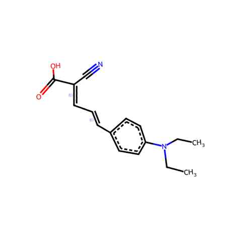 CCN(CC)c1ccc(/C=C/C=C(\C#N)C(=O)O)cc1